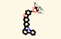 CC1(C)OB(c2ccc3oc4cc5cc6c7cccc8c9ccccc9n(c6cc5cc4c3c2)c87)OC1(C)C